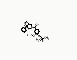 COc1cc(C(O)N2CCC3(c4ccccc4)OCOC3C2)ccc1OCC(C)(C)F